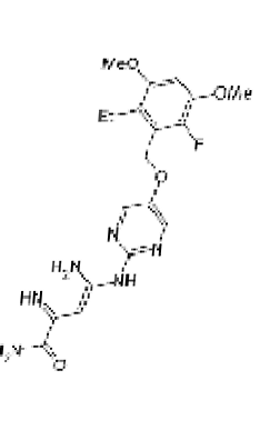 CCc1c(OC)cc(OC)c(F)c1COc1cnc(N/C(N)=C/C(=N)C(N)=O)nc1